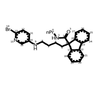 CCCNC(=O)C1(CCCCNc2ccc(Br)nc2)c2ccccc2-c2ccccc21